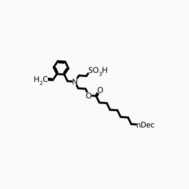 C=Cc1ccccc1CN(CCOC(=O)CCCCCCCCCCCCCCCCC)CCS(=O)(=O)O